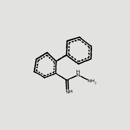 N=C(NN)c1ccccc1-c1ccccc1